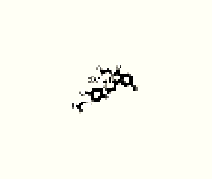 CC(C)(C)OC(=O)Cn1nc(Cc2nc3cc(OCC(F)F)c(Cl)cc3[nH]2)c2cc(Br)ccc2c1=O